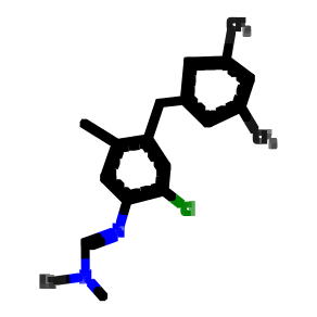 CCN(C)C=Nc1cc(C)c(Cc2cc(C(F)(F)F)cc(C(F)(F)F)c2)cc1Cl